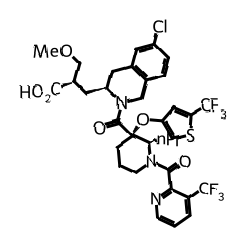 CCC[C@H]1N(C(=O)c2ncccc2C(F)(F)F)CCC[C@]1(Oc1csc(C(F)(F)F)c1)C(=O)N1Cc2ccc(Cl)cc2C[C@@H]1C[C@H](COC)C(=O)O